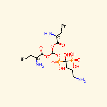 CC(C)C[C@H](N)C(=O)OC(OC(=O)[C@@H](N)CC(C)C)OP(=O)(O)C(O)(CCCN)P(=O)(O)O